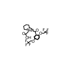 O=C(O)CN1CCCCC1CNC(=O)c1cc(OCC(F)(F)F)ccc1OCC(F)(F)F